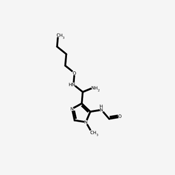 CCCCONC(N)c1ncn(C)c1NC=O